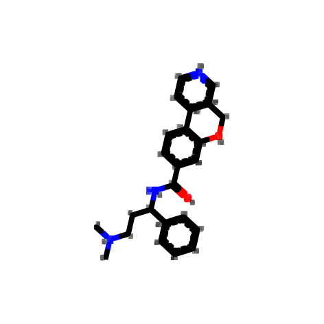 CN(C)CCC(NC(=O)c1ccc2c(c1)OCc1cnccc1-2)c1ccccc1